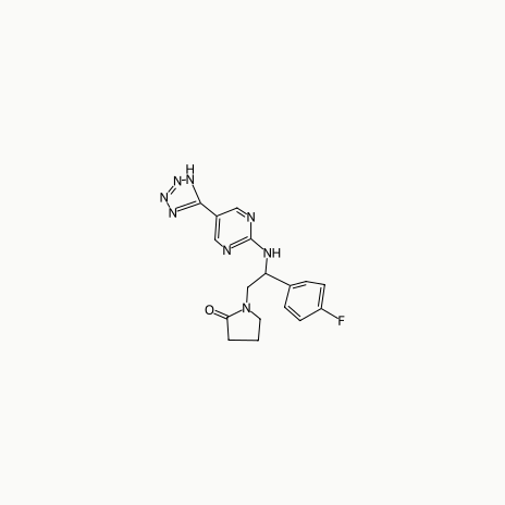 O=C1CCCN1CC(Nc1ncc(-c2nnn[nH]2)cn1)c1ccc(F)cc1